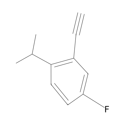 C#Cc1cc(F)ccc1C(C)C